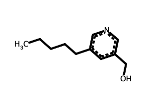 CCCCCc1cncc(CO)c1